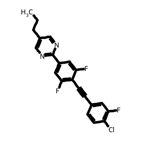 CCCc1cnc(-c2cc(F)c(C#Cc3ccc(Cl)c(F)c3)c(F)c2)nc1